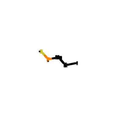 [C][Si][Mn][P][S]